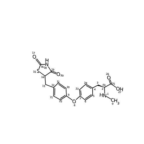 CN[C@@H](Cc1ccc(Oc2ccc(CC3SC(=O)NC3=O)cc2)cc1)C(=O)O